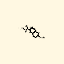 CNC1CCc2cc(C(C)N(C)C)ccc2C1